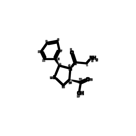 NCC(=O)N1[C@@H](c2ccccc2)SC[C@H]1C(=O)O